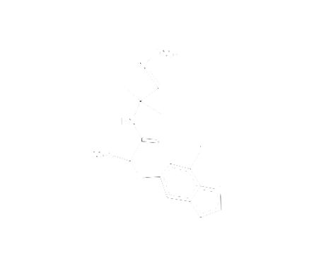 CO/N=C/C(C)(C)NC(=O)C(Oc1cc(Cl)c2sccc2c1)SC